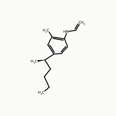 C=CNc1ccc([C@H](C)CCCC)cc1C